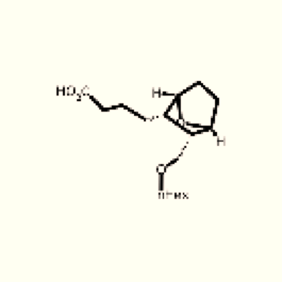 CCCCCCOC[C@@H]1[C@H](CCCC(=O)O)[C@@H]2CC[C@H]1O2